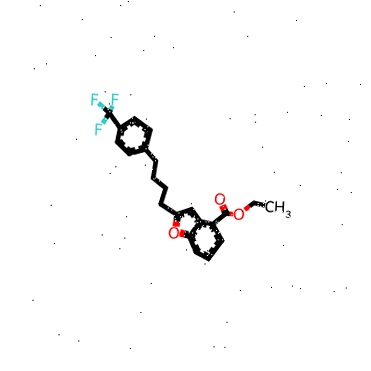 CCOC(=O)c1cccc2oc(CCCCc3ccc(C(F)(F)F)cc3)cc12